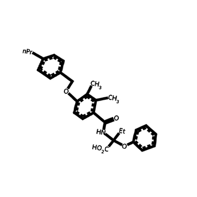 CCCc1ccc(COc2ccc(C(=O)NC(CC)(Oc3ccccc3)C(=O)O)c(C)c2C)cc1